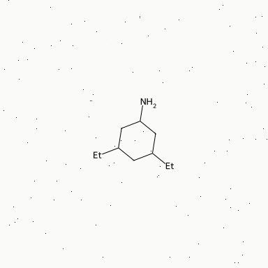 CCC1CC(N)CC(CC)C1